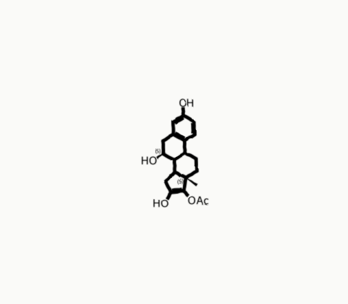 CC(=O)OC1=C(O)CC2C3C(CC[C@]12C)c1ccc(O)cc1C[C@@H]3O